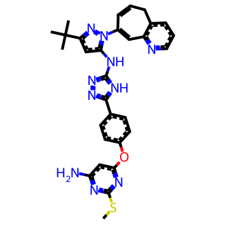 CSc1nc(N)cc(Oc2ccc(-c3nnc(Nc4cc(C(C)(C)C)nn4C4=Cc5ncccc5CC=C4)[nH]3)cc2)n1